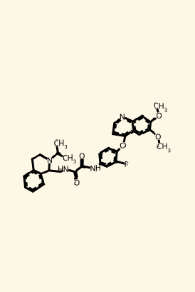 COc1cc2nccc(Oc3ccc(NC(=O)C(=O)NCC4c5ccccc5CCN4C(C)C)cc3F)c2cc1OC